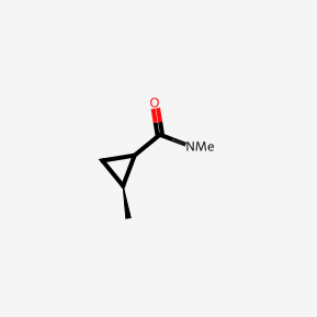 CNC(=O)C1C[C@@H]1C